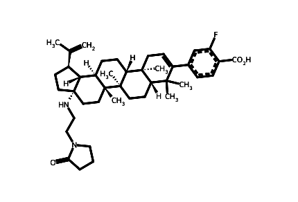 C=C(C)[C@@H]1CC[C@]2(NCCN3CCCC3=O)CC[C@]3(C)[C@H](CC[C@@H]4[C@@]5(C)CC=C(c6ccc(C(=O)O)c(F)c6)C(C)(C)[C@@H]5CC[C@]43C)[C@@H]12